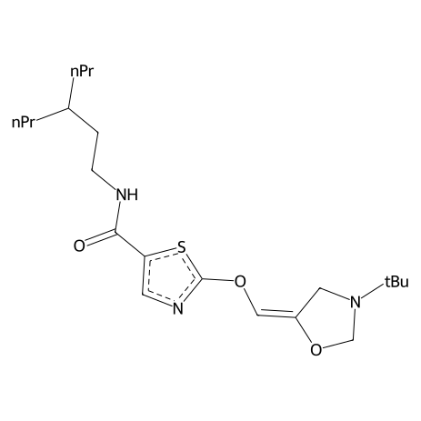 CCCC(CCC)CCNC(=O)c1cnc(OC=C2CN(C(C)(C)C)CO2)s1